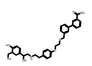 O=C(O)c1cccc(-c2cccc(COCCOc3ccc(CCNCC(O)C4=CC=C(O)C(CO)C4)cc3)c2)c1